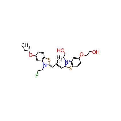 CCCOc1ccc2c(c1)N(CCF)/C(=C/C(C)=C/c1sc3ccc(OCCO)cc3[n+]1CCO)S2